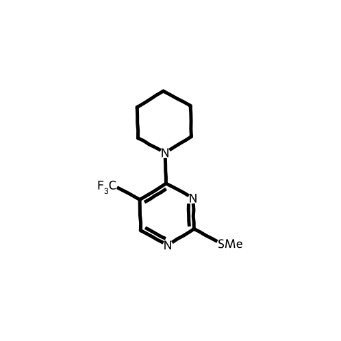 CSc1ncc(C(F)(F)F)c(N2CCCCC2)n1